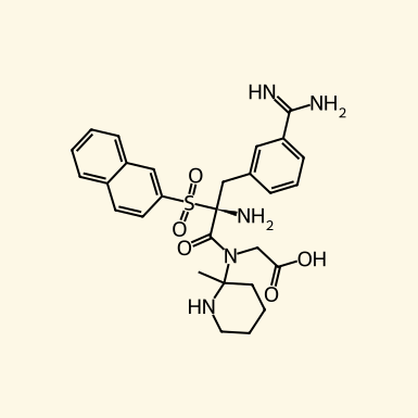 CC1(N(CC(=O)O)C(=O)[C@@](N)(Cc2cccc(C(=N)N)c2)S(=O)(=O)c2ccc3ccccc3c2)CCCCN1